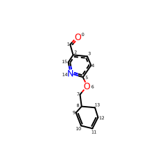 O=Cc1ccc(OCC2C=CC=CC2)nc1